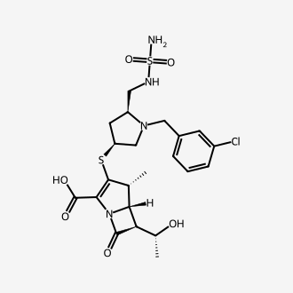 C[C@@H](O)[C@H]1C(=O)N2C(C(=O)O)=C(S[C@H]3C[C@@H](CNS(N)(=O)=O)N(Cc4cccc(Cl)c4)C3)[C@H](C)[C@H]12